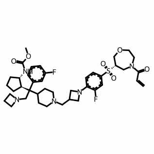 C=CC(=O)N1CCOC[C@@H](S(=O)(=O)c2ccc(N3CC(CN4CCC(C(CN5CCC5)(c5cccc(F)c5)[C@H]5CCC[C@@H]5NC(=O)OC)CC4)C3)c(F)c2)C1